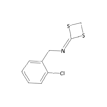 Clc1ccccc1CN=C1SCS1